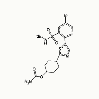 CC(C)(C)NS(=O)(=O)c1cc(Br)ccc1-c1cnc(C2CCC(OC(N)=O)CC2)s1